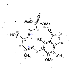 COc1c(C)c2c(c(O)c1C/C=C(\C)CC(/C=C/CP(=O)(OC)OC)C(=O)O)C(=O)OC2